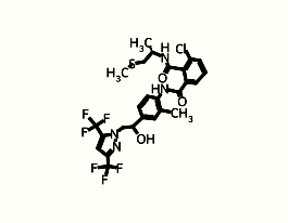 CSC[C@H](C)NC(=O)c1c(Cl)cccc1C(=O)Nc1ccc(C(O)Cn2nc(C(F)(F)F)cc2C(F)(F)F)cc1C